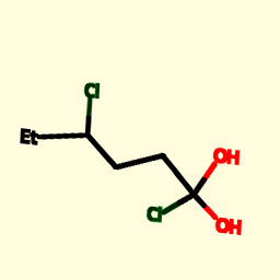 CCC(Cl)CCC(O)(O)Cl